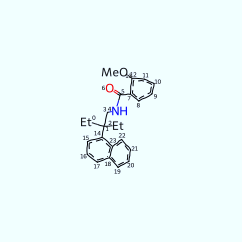 CCC(CC)(CNC(=O)c1ccccc1OC)c1cccc2ccccc12